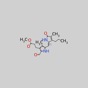 CCCC1=C(C)C(=O)N/C1=C\c1[nH]c(C=O)c(CCC(=O)OC)c1C